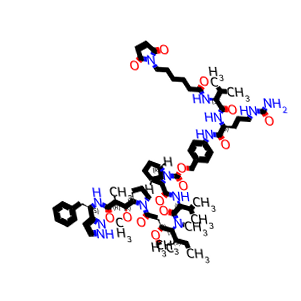 CC[C@H](C)[C@@H]([C@@H](CC(=O)N1CCC[C@H]1[C@H](OC)[C@@H](C)C(=O)N[C@@H](Cc1ccccc1)c1cc[nH]n1)OC)N(C)C(=O)[C@@H](NC(=O)C1[C@H]2CC[C@H](C2)N1C(=O)OCc1ccc(NC(=O)[C@H](CCCNC(N)=O)NC(=O)[C@@H](NC(=O)CCCCCN2C(=O)C=CC2=O)C(C)C)cc1)C(C)C